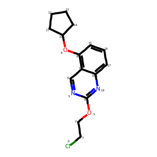 ClCCOc1ncc2c(OC3CCCC3)cccc2n1